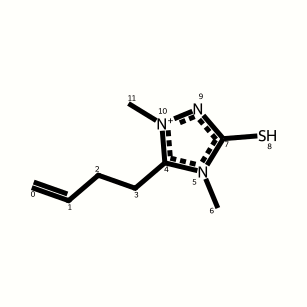 C=CCCc1n(C)c(S)n[n+]1C